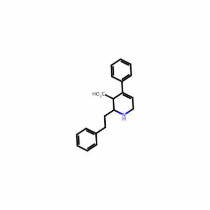 O=C(O)C1C(c2ccccc2)=CCNC1CCc1ccccc1